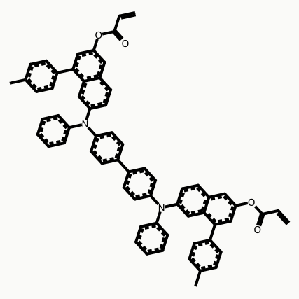 C=CC(=O)Oc1cc(-c2ccc(C)cc2)c2cc(N(c3ccccc3)c3ccc(-c4ccc(N(c5ccccc5)c5ccc6cc(OC(=O)C=C)cc(-c7ccc(C)cc7)c6c5)cc4)cc3)ccc2c1